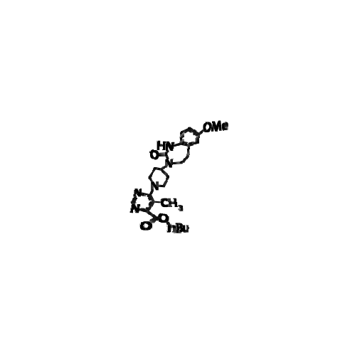 CCCCOC(=O)c1ncnc(N2CCC(N3CCc4cc(OC)ccc4NC3=O)CC2)c1C